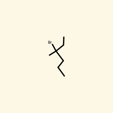 CCCC(C)(Br)CC